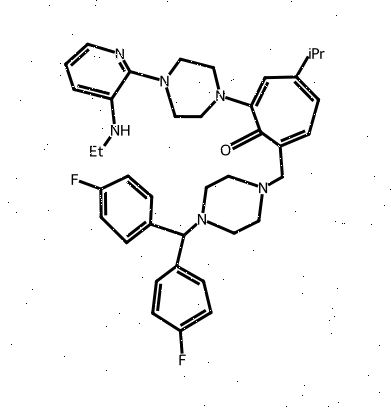 CCNc1cccnc1N1CCN(c2cc(C(C)C)ccc(CN3CCN(C(c4ccc(F)cc4)c4ccc(F)cc4)CC3)c2=O)CC1